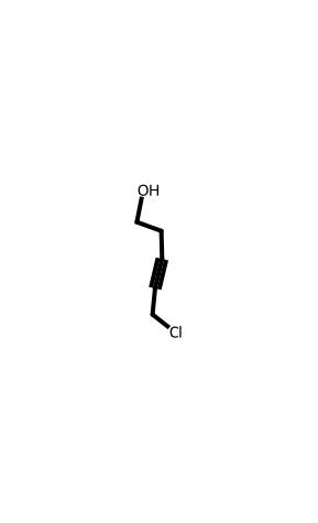 OCCC#CCCl